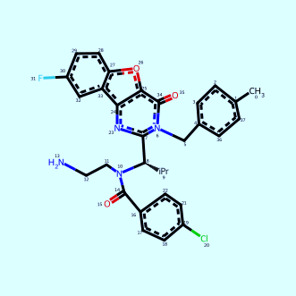 Cc1ccc(Cn2c([C@@H](C(C)C)N(CCN)C(=O)c3ccc(Cl)cc3)nc3c(oc4ccc(F)cc43)c2=O)cc1